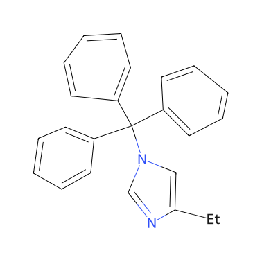 [CH2]Cc1cn(C(c2ccccc2)(c2ccccc2)c2ccccc2)cn1